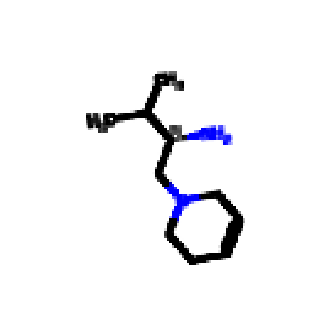 CC(C)[C@H](N)CN1CC=CCC1